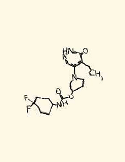 CCc1c(N2CC[C@@H](OC(=O)NC3CCC(F)(F)CC3)C2)cn[nH]c1=O